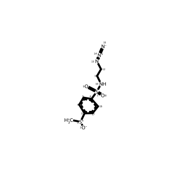 C[S+]([O-])c1ccc(S(=O)(=O)NCCN=[N+]=[N-])cc1